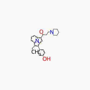 CCc1c(-c2ccc(O)cc2)c2cc(C(=O)CCN3CCCCC3)c3cccc1n32